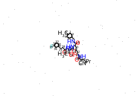 Cc1ccc(CNC(=O)C(CCCCNC(=O)C(C#N)=CC(C)C)NC(=O)[C@@H](NC(=O)CCc2cccc(F)c2)[C@@H](C)O)cc1